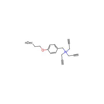 C#CC[N+](CC#C)(CC#C)Cc1ccc(OCCCCCCCCCCCC)cc1